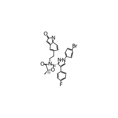 C[C@@H]1O[C@@H](c2nn(-c3ccc(Br)cc3)cc2-c2ccc(F)cc2)N(CCc2ccc3c(c2)=CC(=O)N=3)C1=O